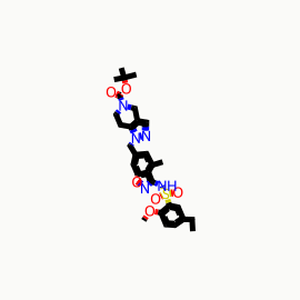 CCc1ccc(OC)c(S(=O)(=O)Nc2noc3cc(Cn4ncc5c4CCN(C(=O)OC(C)(C)C)C5)cc(C)c23)c1